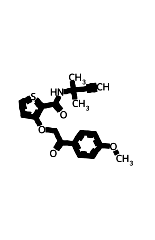 C#CC(C)(C)NC(=O)c1sccc1OCC(=O)c1ccc(OC)cc1